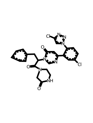 O=C1CN(C(=O)C(Cc2ccccc2)n2cnc(-c3cc(Cl)ccc3-n3cc(Cl)nn3)cc2=O)CCN1